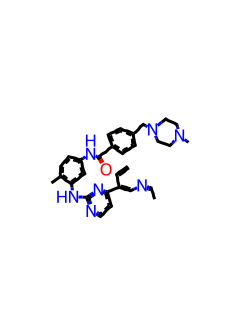 C=C/C(=C\N=C/C)c1ccnc(Nc2cc(NC(=O)c3ccc(CN4CCN(C)CC4)cc3)ccc2C)n1